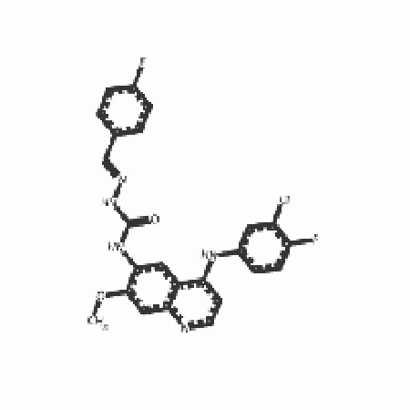 COc1cc2nccc(Nc3ccc(F)c(Cl)c3)c2cc1NC(=O)N/N=C/c1ccc(F)cc1